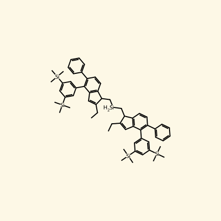 CCC1=Cc2c(ccc(-c3ccccc3)c2-c2cc([Si](C)(C)C)cc([Si](C)(C)C)c2)C1C[SiH2]CC1C(CC)=Cc2c1ccc(-c1ccccc1)c2-c1cc([Si](C)(C)C)cc([Si](C)(C)C)c1